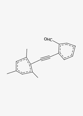 Cc1cc(C)c(C#Cc2ccccc2C=O)c(C)c1